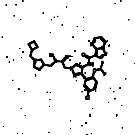 CCN(C[C@H]1CCN(CC2CCC2)C1)C(=O)Cn1cc(NC(=O)c2cnn3cccnc23)c(-c2cc(Cl)ccc2OC(F)F)n1